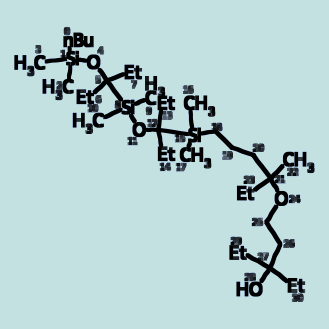 CCCC[Si](C)(C)OC(CC)(CC)[Si](C)(C)OC(CC)(CC)[Si](C)(C)CCCC(C)(CC)OCCC(O)(CC)CC